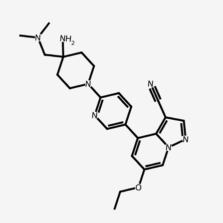 CCOc1cc(-c2ccc(N3CCC(N)(CN(C)C)CC3)nc2)c2c(C#N)cnn2c1